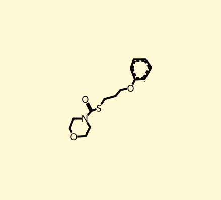 O=C(SCCCOc1[c]cccc1)N1CCOCC1